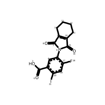 O=C(O)c1cc(N2C(=O)C3=C(CCCC3)C2=O)c(F)cc1I